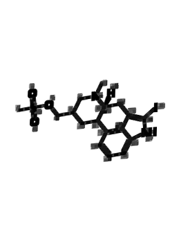 CN1CC(COS(C)(=O)=O)CC2c3cccc4[nH]c(I)c(c34)C[C@H]21